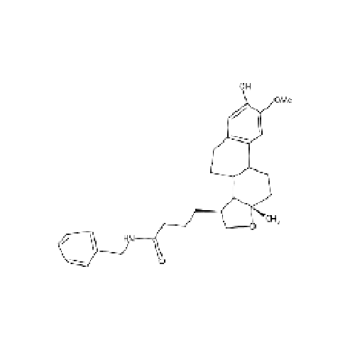 COc1cc2c(cc1O)CCC1C2CC[C@]2(C)OC[C@@H](CCCC(=O)NCc3ccccc3)C12